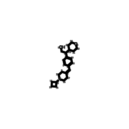 OCC(c1ccc(C=C2CCN(C3CCC3)CC2)cc1)C1CCOCC1